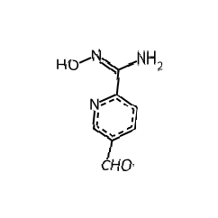 N/C(=N/O)c1ccc([C]=O)cn1